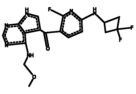 COCNc1ncnc2[nH]cc(C(=O)c3ccc(NC4CC(F)(F)C4)nc3F)c12